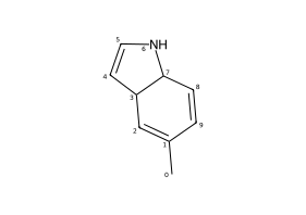 CC1=CC2C=CNC2C=C1